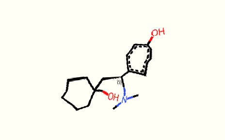 CN(C)[C@@H](CC1(O)CCCCC1)c1ccc(O)cc1